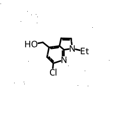 CCn1ccc2c(CO)cc(Cl)nc21